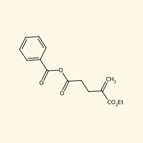 C=C(CCC(=O)OC(=O)c1ccccc1)C(=O)OCC